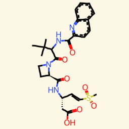 CC(C)(C)C(NC(=O)c1ccc2ccccc2n1)C(=O)N1CC[C@@H]1C(=O)N[C@H](/C=C/S(C)(=O)=O)CC(=O)O